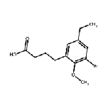 CCc1cc(Br)c(OC)c(CCCC(=O)O)c1